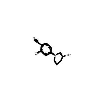 N#Cc1ccc(N2CCCC(O)C2)cc1Cl